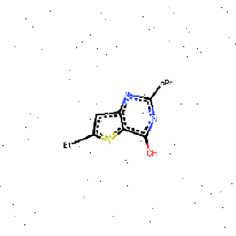 CCCc1nc(O)c2sc(CC)cc2n1